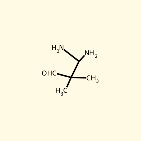 CC(C)(C=O)C(N)N